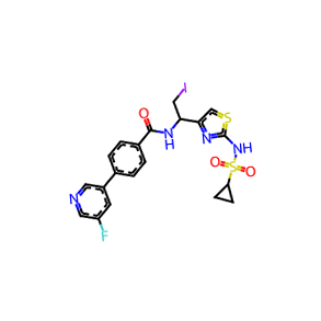 O=C(NC(CI)c1csc(NS(=O)(=O)C2CC2)n1)c1ccc(-c2cncc(F)c2)cc1